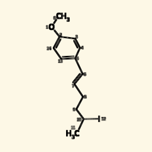 COc1ccc(C=CCCC(C)I)cc1